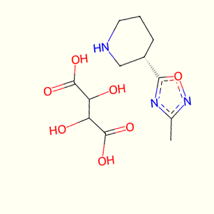 Cc1noc([C@H]2CCCNC2)n1.O=C(O)C(O)C(O)C(=O)O